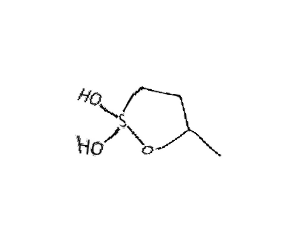 CC1CCS(O)(O)O1